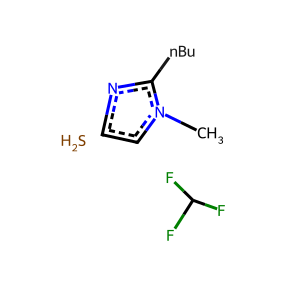 CCCCc1nccn1C.FC(F)F.S